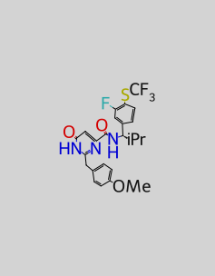 COc1ccc(Cc2nc(C(=O)N[C@@H](c3ccc(SC(F)(F)F)c(F)c3)C(C)C)cc(=O)[nH]2)cc1